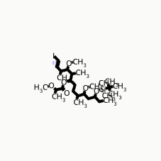 CCC(CC(OC)C(C)CCC(OC(=O)C(C)OC)C(C)C(OC)C(C)/C=C/I)O[Si](C)(C)C(C)(C)C